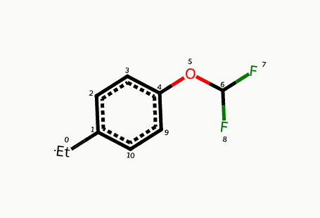 C[CH]c1ccc(OC(F)F)cc1